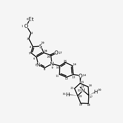 CCOCCc1cc2ncn(-c3ccc(O[C@H]4C[C@H]5CC[C@@H](C4)N5C)cc3)c(=O)c2s1